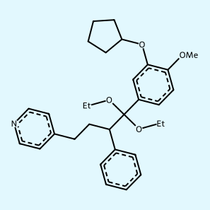 CCOC(OCC)(c1ccc(OC)c(OC2CCCC2)c1)C(CCc1ccncc1)c1ccccc1